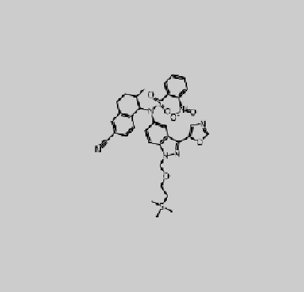 CC1CCc2cc(C#N)ccc2C1N(c1ccc2c(c1)c(-c1cnco1)nn2COCC[Si](C)(C)C)S(=O)(=O)c1ccccc1[N+](=O)[O-]